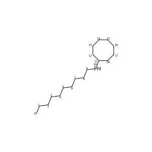 CCCCCCCCCCPC1CCCCCCC1